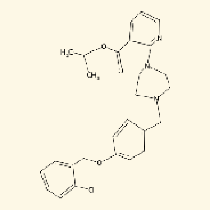 CC(C)OC(=O)c1cccnc1N1CCN(Cc2ccc(OCc3ccccc3Cl)cc2)CC1